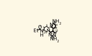 CCC(=O)NC1CCCN(c2nc(N)nc(C)c2-c2ccc(N)nc2)C1